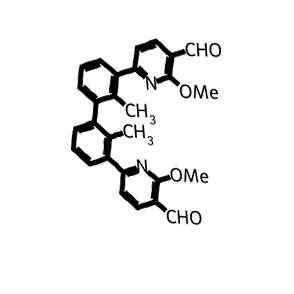 COc1nc(-c2cccc(-c3cccc(-c4ccc(C=O)c(OC)n4)c3C)c2C)ccc1C=O